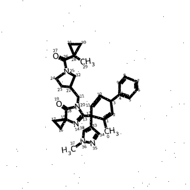 CC1=CC(c2ccccc2)C=CC1(C1=NC2(CC2)C(=O)N1CC1CCN(C(=O)C2(C)CC2)C1)c1cnn(C)c1